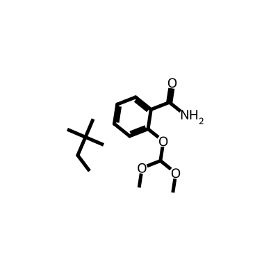 CCC(C)(C)C.COC(OC)Oc1ccccc1C(N)=O